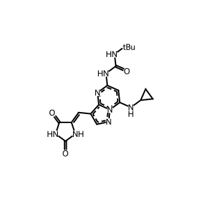 CC(C)(C)NC(=O)Nc1cc(NC2CC2)n2ncc(/C=C3\NC(=O)NC3=O)c2n1